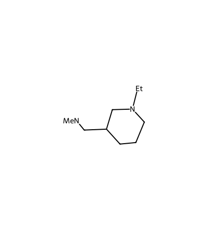 CCN1CCCC(CNC)C1